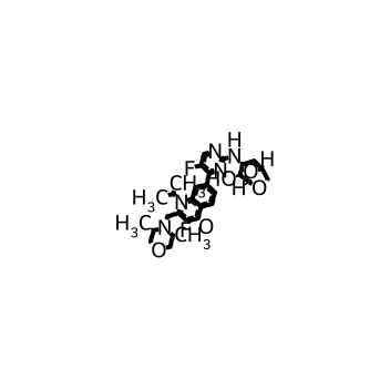 CC(C)n1c(CN2[C@@H](C)COC[C@@H]2C)c(F)c(=O)c2ccc(-c3nc(N[C@@H]4C[C@H]5CO[C@H](O5)[C@H]4O)ncc3F)cc21